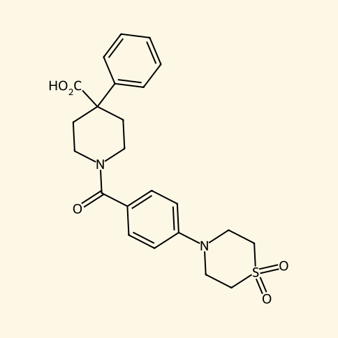 O=C(c1ccc(N2CCS(=O)(=O)CC2)cc1)N1CCC(C(=O)O)(c2ccccc2)CC1